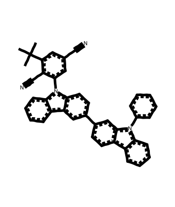 CC(C)(C)c1cc(C#N)cc(-n2c3ccccc3c3cc(-c4ccc5c6ccccc6n(-c6ccccc6)c5c4)ccc32)c1C#N